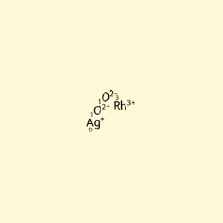 [Ag+].[O-2].[O-2].[Rh+3]